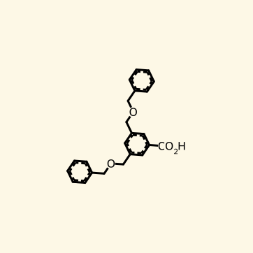 O=C(O)c1cc(COCc2ccccc2)cc(COCc2ccccc2)c1